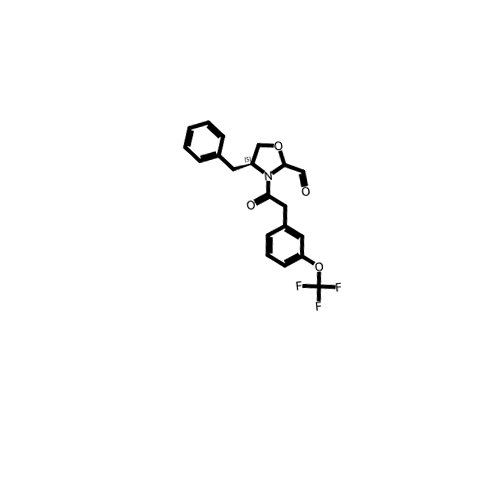 O=CC1OC[C@H](Cc2ccccc2)N1C(=O)Cc1cccc(OC(F)(F)F)c1